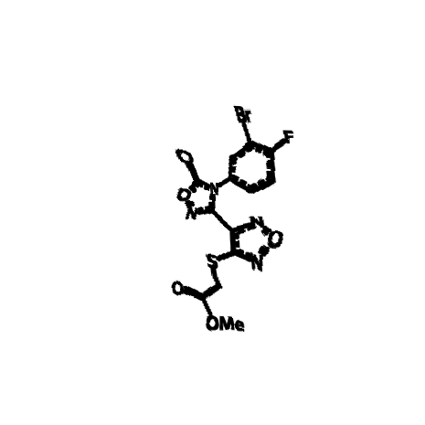 COC(=O)CSc1nonc1-c1noc(=O)n1-c1ccc(F)c(Br)c1